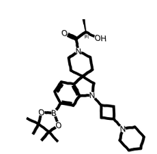 C[C@@H](O)C(=O)N1CCC2(CC1)CN(C1CC(N3CCCCC3)C1)c1cc(B3OC(C)(C)C(C)(C)O3)ccc12